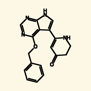 O=C1C=C(c2c[nH]c3ncnc(OCc4ccccc4)c23)NCC1